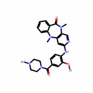 CCOc1cc(C(=O)N2CCN(C(C)=O)CC2)ccc1Nc1cc2c(cn1)N(C)C(=O)c1ccccc1N2C